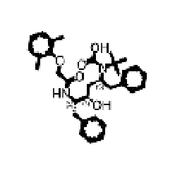 Cc1cccc(C)c1OCC(=O)N[C@@H](Cc1ccccc1)[C@@H](O)C[C@H](Cc1ccccc1)N(C(=O)O)C(C)(C)C